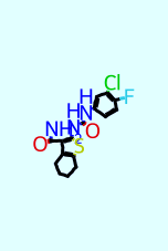 NC(=O)c1c(NC(=O)Nc2ccc(F)c(Cl)c2)sc2c1CCCC2